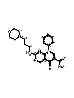 CNC(=O)c1cn(-c2ccccc2)c2nc(NCCCN3CCOCC3)ncc2c1=O